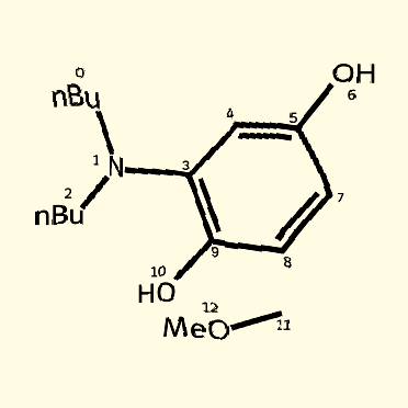 CCCCN(CCCC)c1cc(O)ccc1O.COC